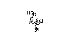 O=C(O)CCOC[C@@H]1CCCN1c1cc(-c2cnsc2)c2ccc(Cl)c(Cl)c2n1